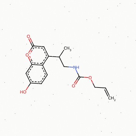 C=CCOC(=O)NCC(C)c1cc(=O)oc2cc(O)ccc12